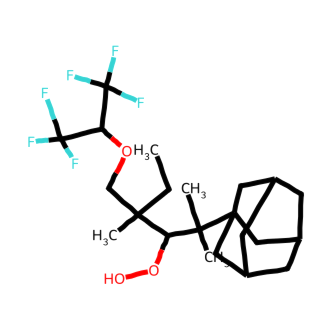 CCC(C)(COC(C(F)(F)F)C(F)(F)F)C(OO)C(C)(C)C12CC3CC(CC(C3)C1)C2